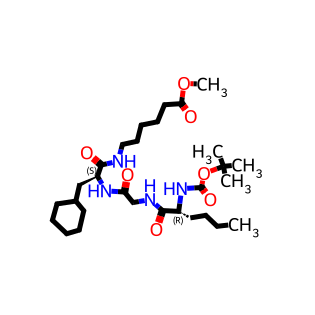 CCCC[C@@H](NC(=O)OC(C)(C)C)C(=O)NCC(=O)N[C@@H](CC1CCCCC1)C(=O)NCCCCCC(=O)OC